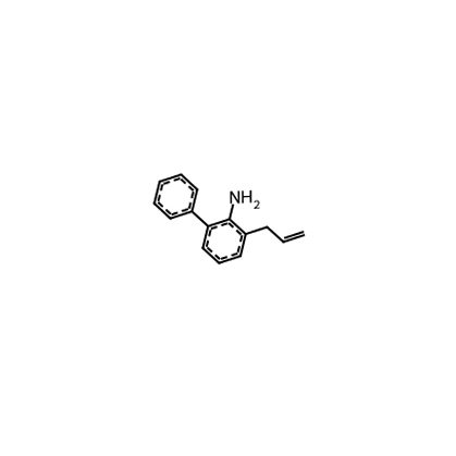 C=CCc1cccc(-c2ccccc2)c1N